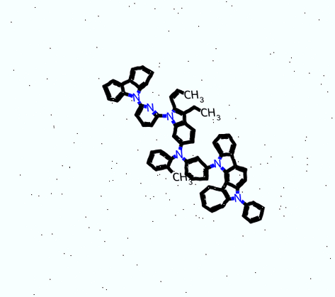 C/C=C\c1c(CC)c2ccc(N(c3cccc(-n4c5ccccc5c5ccc6c(c7c(n6-c6ccccc6)C=CC=CC7)c54)c3)c3ccccc3C)cc2n1-c1cccc(-n2c3ccccc3c3ccccc32)n1